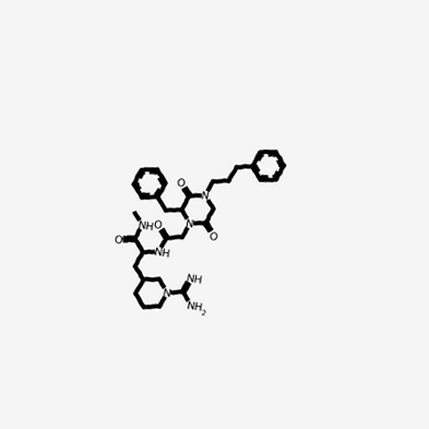 CNC(=O)C(CC1CCCN(C(=N)N)C1)NC(=O)CN1C(=O)CN(CCCc2ccccc2)C(=O)C1Cc1ccccc1